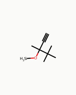 C#CC(C)(O[SiH3])C(C)(C)C